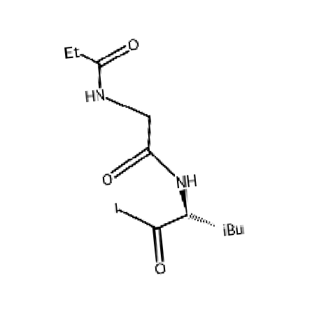 CCC(=O)NCC(=O)N[C@H](C(=O)I)[C@@H](C)CC